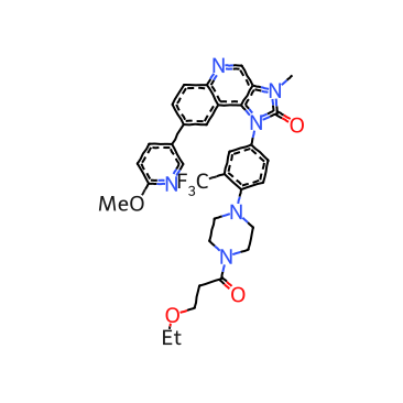 CCOCCC(=O)N1CCN(c2ccc(-n3c(=O)n(C)c4cnc5ccc(-c6ccc(OC)nc6)cc5c43)cc2C(F)(F)F)CC1